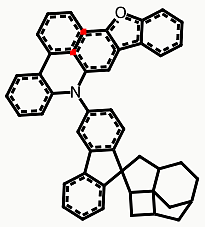 c1ccc(-c2ccccc2N(c2ccc3c(c2)-c2ccccc2C32CC3CCC4CC5CC2C53C4)c2ccc3oc4ccccc4c3c2)cc1